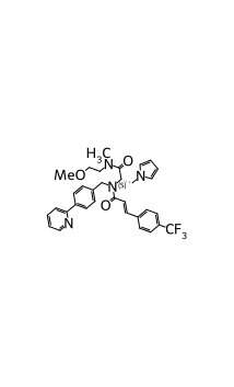 COCCN(C)C(=O)[C@H](Cn1cccc1)N(Cc1ccc(-c2ccccn2)cc1)C(=O)C=Cc1ccc(C(F)(F)F)cc1